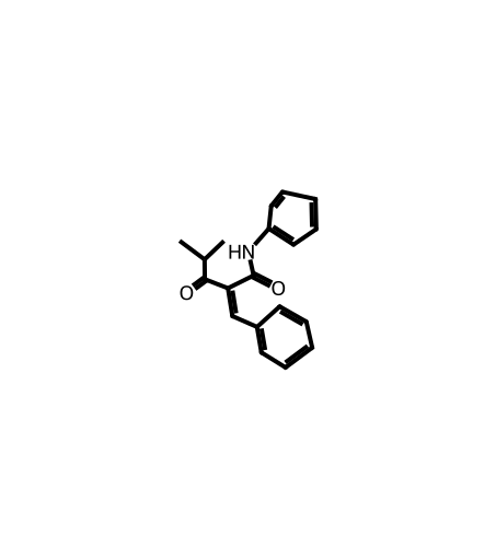 CC(C)C(=O)C(=Cc1ccccc1)C(=O)Nc1ccccc1